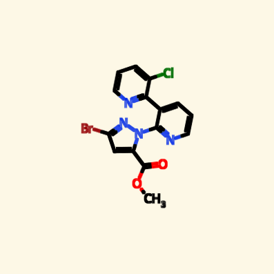 COC(=O)c1cc(Br)nn1-c1ncccc1-c1ncccc1Cl